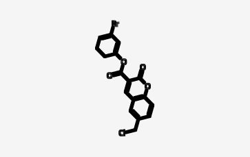 O=C(OC1=CC(Br)=CCC1)c1cc2cc(CCl)ccc2oc1=O